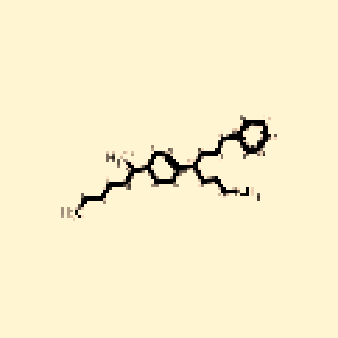 CCCCCC(C)C1CC=C(C(CCCC)CCCc2ccccc2)CC1